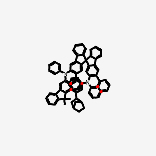 CC1(C)c2ccccc2-c2cc(N(c3ccccc3)c3cc4c(cc3-c3ccc(C5CC6CCC5C6)cc3)C3(c5ccccc5-4)c4ccccc4-c4cc(-c5ccccc5)c(N(c5ccccc5)c5ccccc5)cc43)ccc21